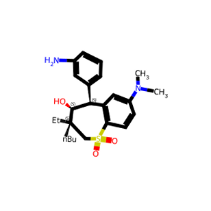 CCCC[C@]1(CC)CS(=O)(=O)c2ccc(N(C)C)cc2[C@H](c2cccc(N)c2)[C@@H]1O